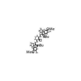 CCCCN1/C(=C\C=C2/CCCC(/C=C/C3=[N+](CCCC)c4cc(C)c(OC)cc4C34CCCC4)=C2Cl)C2(CCCC2)c2cc(OC)c(C)cc21